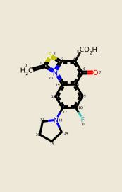 C=c1sc2c(C(=O)O)c(=O)c3cc(F)c(N4CCCC4)cc3n12